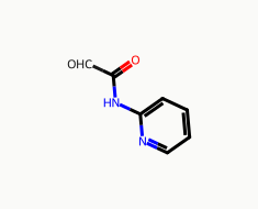 O=CC(=O)Nc1ccccn1